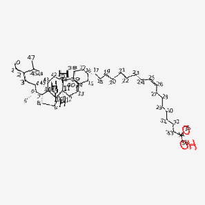 CC[C@H](CC[C@@H](C)[C@H]1CC[C@H]2[C@@H]3CC=C4C[C@@H](CCCCCCCC/C=C\CCCCCCCC(=O)O)CC[C@]4(C)[C@H]3CC[C@]12C)C(C)C